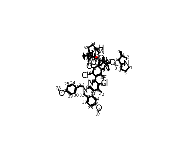 C=C1CN2CCC[C@@]2(COc2nc3c4c(c(Cl)c(-c5nc(N(Cc6ccc(OC)cc6)Cc6ccc(OC)cc6)cc(C)c5Cl)c(F)c4n2)OC[C@@H]2[C@@H]4CC[C@H](CN32)N4C(=O)OC(C)(C)C)C1